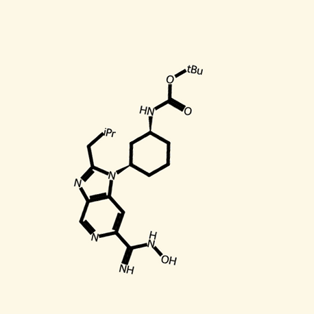 CC(C)Cc1nc2cnc(C(=N)NO)cc2n1[C@@H]1CCC[C@H](NC(=O)OC(C)(C)C)C1